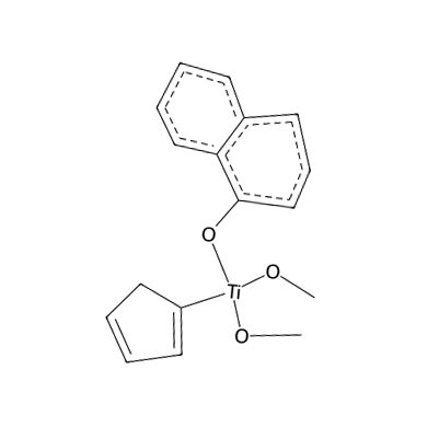 C[O][Ti]([O]C)([O]c1cccc2ccccc12)[C]1=CC=CC1